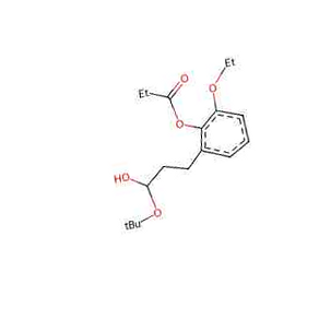 CCOc1cccc(CCC(O)OC(C)(C)C)c1OC(=O)CC